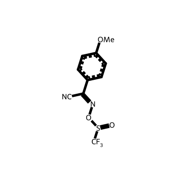 COc1ccc(/C(C#N)=N/OS(=O)C(F)(F)F)cc1